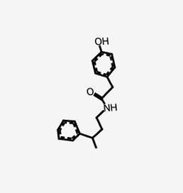 CC(CCNC(=O)Cc1ccc(O)cc1)c1ccccc1